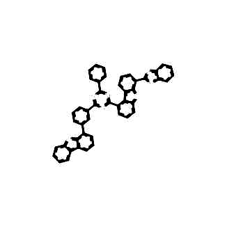 c1ccc(-c2nc(-c3cccc(-c4cccc5c4oc4ccccc45)c3)nc(-c3cccc4sc5c(-c6nc7ccccc7s6)cccc5c34)n2)cc1